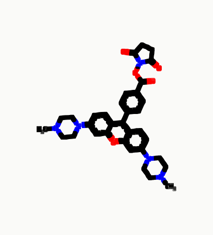 CN1CCN(c2ccc3c(-c4ccc(C(=O)ON5C(=O)CCC5=O)cc4)c4ccc(=[N+]5CCN(C)CC5)cc-4oc3c2)CC1